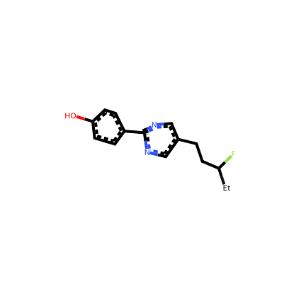 CCC(F)CCc1cnc(-c2ccc(O)cc2)nc1